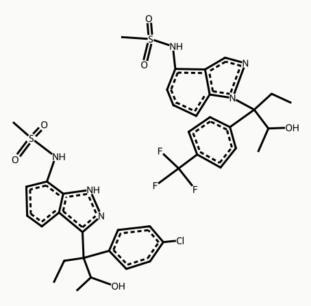 CCC(c1ccc(C(F)(F)F)cc1)(C(C)O)n1ncc2c(NS(C)(=O)=O)cccc21.CCC(c1ccc(Cl)cc1)(c1n[nH]c2c(NS(C)(=O)=O)cccc12)C(C)O